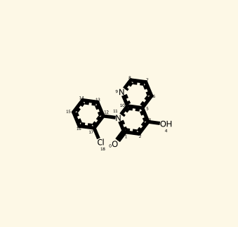 O=c1cc(O)c2cccnc2n1-c1ccccc1Cl